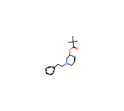 CC(C)(C)C(=O)OC1C=CCN(CCc2ccccc2)C1